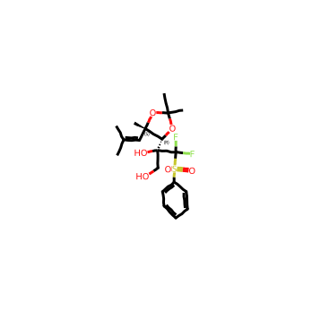 CC(C)=C[C@]1(C)OC(C)(C)O[C@@H]1C(O)(CO)C(F)(F)S(=O)(=O)c1ccccc1